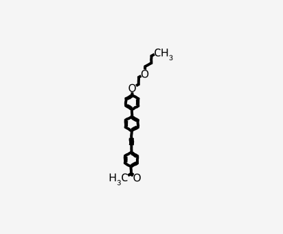 CCCCOCCOc1ccc(-c2ccc(C#Cc3ccc(C(C)=O)cc3)cc2)cc1